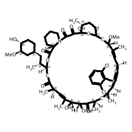 CO[C@H]1C[C@@H]2CC[C@@H](C)[C@@](O)(O2)C(=O)C(=O)N2CCCC[C@H]2C(=O)O[C@H]([C@H](C)C[C@@H]2CC[C@@H](O)[C@H](OC)C2)CC(=O)[C@H](C)/C=C(\C)[C@@H](O)[C@@H](OC)C(=O)[C@H](C)C[C@H](C)[C@@H]2C=C[C@H](/C=C/1C)ON2c1c(Cl)cccc1Cl